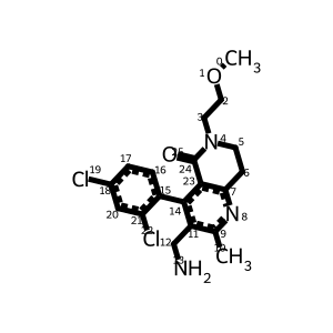 COCCN1CCc2nc(C)c(CN)c(-c3ccc(Cl)cc3Cl)c2C1=O